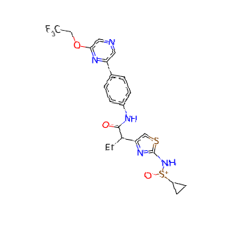 CCC(C(=O)Nc1ccc(-c2cncc(OCC(F)(F)F)n2)cc1)c1csc(N[S+]([O-])C2CC2)n1